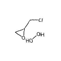 ClCC1CO1.OO